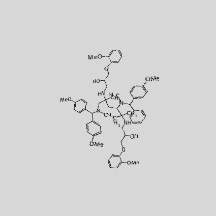 COc1ccc(C(c2ccc(OC)cc2)N(C)CC(C)(CC(N(C)C(c2ccccc2)c2ccc(OC)cc2)C(C)(C)NCC(O)COc2ccccc2OC)NCC(O)COc2ccccc2OC)cc1